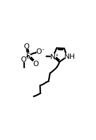 CCCCCCc1[nH]cc[n+]1C.COS(=O)(=O)[O-]